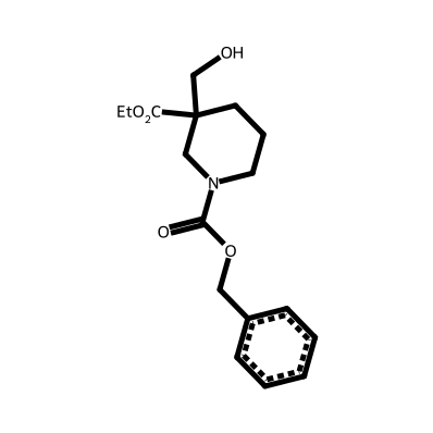 CCOC(=O)C1(CO)CCCN(C(=O)OCc2ccccc2)C1